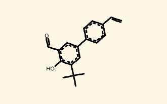 C=Cc1ccc(-c2cc(C=O)c(O)c(C(C)(C)C)c2)cc1